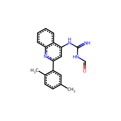 Cc1ccc(C)c(-c2cc(NC(=N)NC=O)c3ccccc3n2)c1